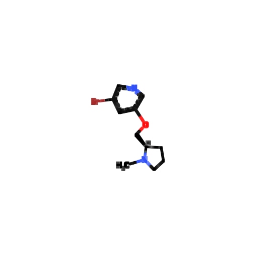 CN1CCC[C@@H]1COc1cncc(Br)c1